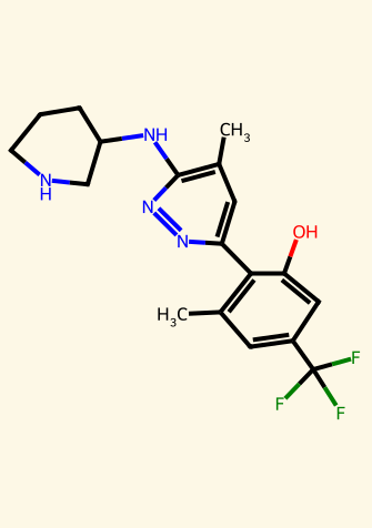 Cc1cc(-c2c(C)cc(C(F)(F)F)cc2O)nnc1NC1CCCNC1